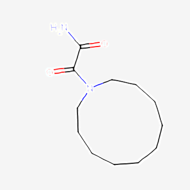 NC(=O)C(=O)N1CCCCCCCCCC1